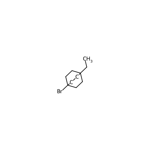 CCC12CCC(Br)(CC1)CC2